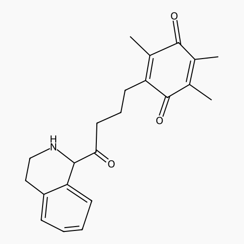 CC1=C(C)C(=O)C(CCCC(=O)C2NCCc3ccccc32)=C(C)C1=O